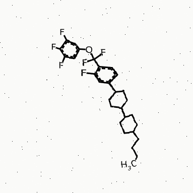 CCCCC1CCC(C2CCC(c3ccc(C(F)(F)Oc4cc(F)c(F)c(F)c4)c(F)c3)CC2)CC1